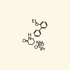 CCOc1ccccc1-c1ccc([C@H]2NC(=O)CC[C@H]2NS(=O)(=O)C(C)C)cc1